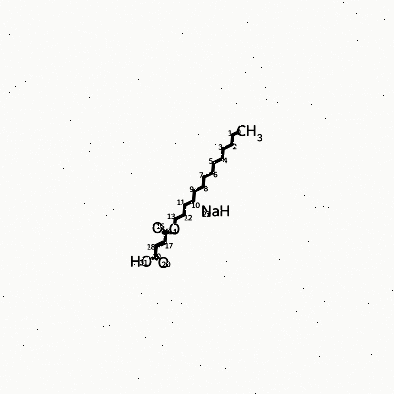 CCCCCCCCCCCCCCOC(=O)/C=C/C(=O)O.[NaH]